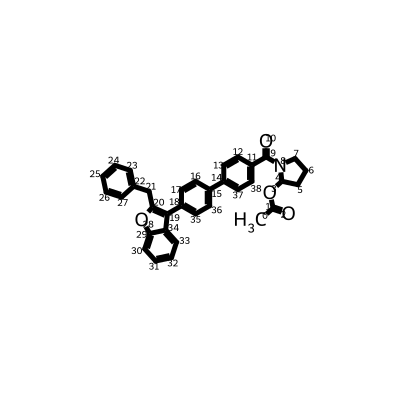 CC(=O)OC1CCCN1C(=O)c1ccc(-c2ccc(-c3c(Cc4ccccc4)oc4ccccc34)cc2)cc1